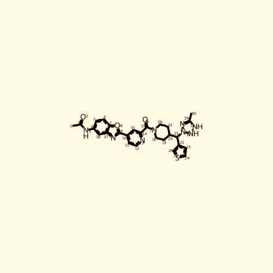 CC(=O)Nc1ccc2oc(-c3ccnc(C(=O)N4CCC(C(c5ccsc5)N5N=C(C)NN5)CC4)c3)nc2c1